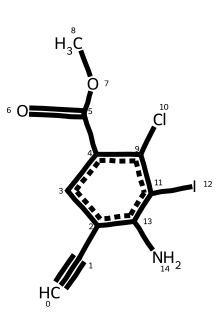 C#Cc1cc(C(=O)OC)c(Cl)c(I)c1N